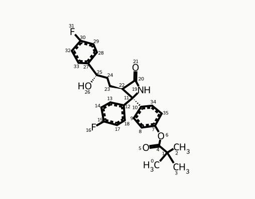 CC(C)(C)C(=O)Oc1ccc([C@@]2(c3ccc(F)cc3)NC(=O)[C@@H]2CC[C@H](O)c2ccc(F)cc2)cc1